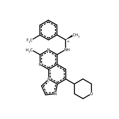 Cc1nc(N[C@H](C)c2cccc(C(F)(F)F)c2)c2cc(C3CCOCC3)c3nccn3c2n1